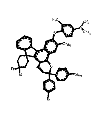 CCc1ccc(C2(c3ccc(OC)cc3)C=Cc3c4c(c5cc(Sc6ccc(N(C)C)cc6C)c(OC)cc5c3O2)-c2ccccc2C42CCC(CC)(CC)CC2)cc1